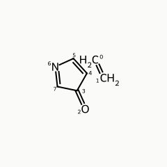 C=C.O=C1C=CN=C1